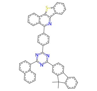 CC1(C)c2ccccc2-c2ccc(-c3nc(-c4ccc(-c5nc6c7ccccc7sc6c6ccccc56)cc4)nc(-c4cccc5ccccc45)n3)cc21